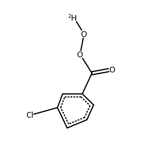 [2H]OOC(=O)c1cccc(Cl)c1